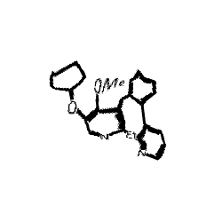 CCc1ncc(OC2CCCC2)c(OC)c1-c1ccccc1-c1cccnc1